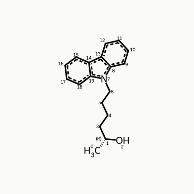 C[C@@H](O)CCCCn1c2ccccc2c2ccccc21